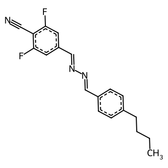 CCCCc1ccc(/C=N/N=C/c2cc(F)c(C#N)c(F)c2)cc1